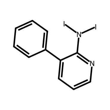 IN(I)c1ncccc1-c1ccccc1